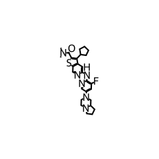 CN(C)C(=O)c1sc2cnc(Nc3ncc(N4CCN5CCCC5C4)cc3F)cc2c1C1CCCC1